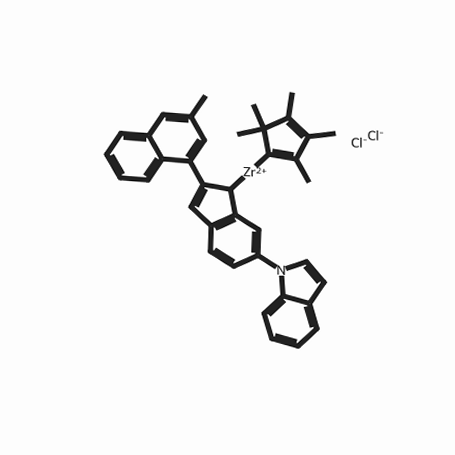 CC1=C(C)C(C)(C)[C]([Zr+2][CH]2C(c3cc(C)cc4ccccc34)=Cc3ccc(-n4ccc5ccccc54)cc32)=C1C.[Cl-].[Cl-]